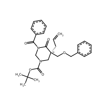 C=CC[C@]1(COCc2ccccc2)CN(C(=O)OC(C)(C)C)CN(C(=O)c2ccccc2)C1=O